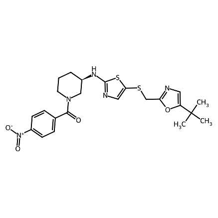 CC(C)(C)c1cnc(CSc2cnc(N[C@@H]3CCCN(C(=O)c4ccc([N+](=O)[O-])cc4)C3)s2)o1